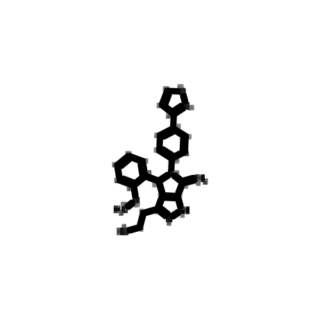 C=C1c2[nH]nc(CCO)c2C(c2ccccc2OC)N1c1ccc(-c2ccon2)cc1